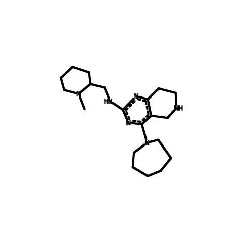 CN1CCCCC1CNc1nc2c(c(N3CCCCCC3)n1)CNCC2